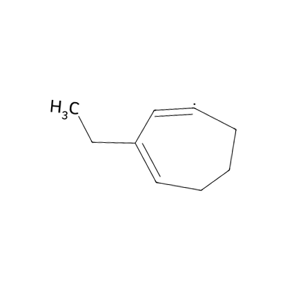 CCC1=CCCC[C]=C1